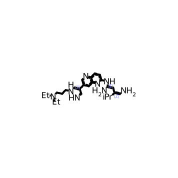 CCN(CC)CCCN/C=C(\C=N)c1cnc2ccc(N/C(N)=C/C(=C\N)C(C)C)nc2c1